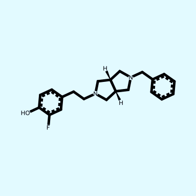 Oc1ccc(CCN2C[C@@H]3CN(Cc4ccccc4)C[C@@H]3C2)cc1F